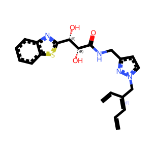 C=C/C=C(\C=C)Cn1ccc(CNC(=O)[C@H](O)[C@@H](O)c2nc3ccccc3s2)n1